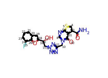 NC(=O)c1csc2ncn(Cc3nnn(C[C@H](O)c4cc5cccc(F)c5o4)n3)c(=O)c12